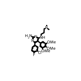 COc1cc(-c2c(NCCCN(C)C)nc(N)nc2-c2ccc(F)c(Cl)c2)cc(OC)c1OC